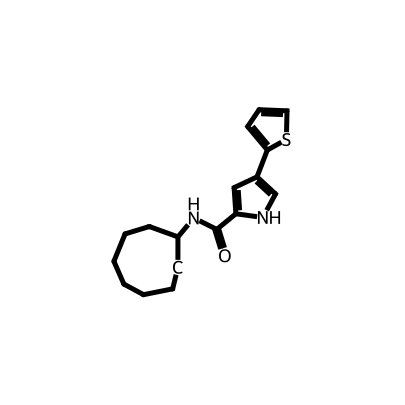 O=C(NC1CCCCCCC1)c1cc(-c2cccs2)c[nH]1